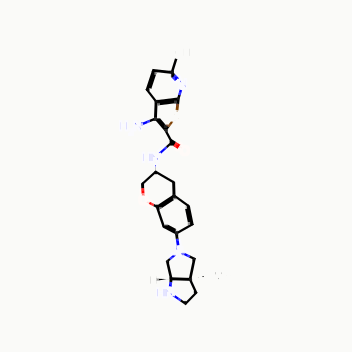 CO[C@]12CCN[C@@H]1CN(c1ccc3c(c1)OC[C@H](NC(=O)c1sc4nc(C)ccc4c1N)C3)C2